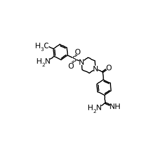 Cc1ccc(S(=O)(=O)N2CCN(C(=O)c3ccc(C(=N)N)cc3)CC2)cc1N